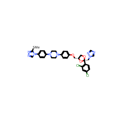 CSc1nncn1-c1ccc(N2CCN(c3ccc(OC[C@@H]4CO[C@@](Cn5cncn5)(c5ccc(Cl)cc5Cl)O4)cc3)CC2)cc1